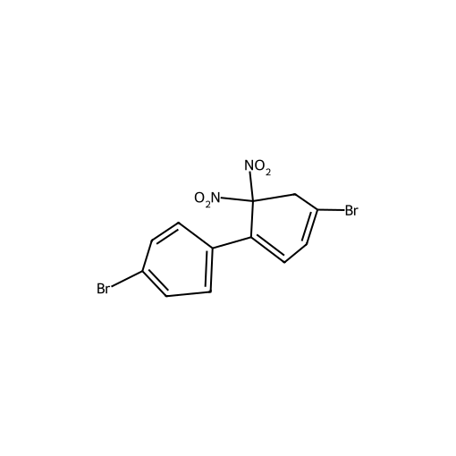 O=[N+]([O-])C1([N+](=O)[O-])CC(Br)=CC=C1c1ccc(Br)cc1